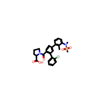 Cc1c(-c2ccc(C(=O)N3CCCC3C(=O)O)c(-c3ccccc3Cl)c2)cccc1N(C)S(C)(=O)=O